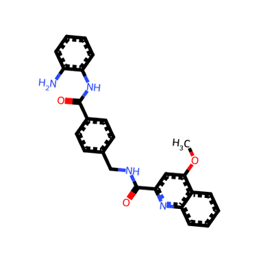 COc1cc(C(=O)NCc2ccc(C(=O)Nc3ccccc3N)cc2)nc2ccccc12